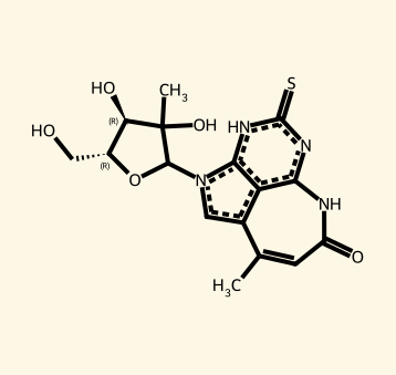 CC1=CC(=O)Nc2nc(=S)[nH]c3c2c1cn3C1O[C@H](CO)[C@@H](O)C1(C)O